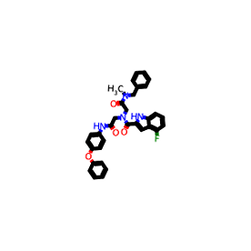 CN(Cc1ccccc1)C(=O)CN(CC(=O)Nc1ccc(Oc2ccccc2)cc1)C(=O)c1cc2c(F)cccc2[nH]1